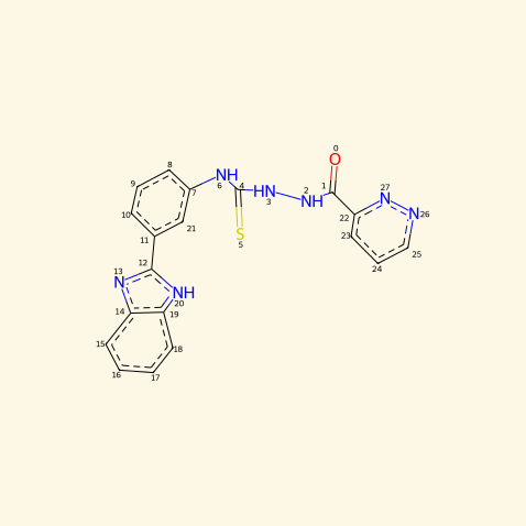 O=C(NNC(=S)Nc1cccc(-c2nc3ccccc3[nH]2)c1)c1cccnn1